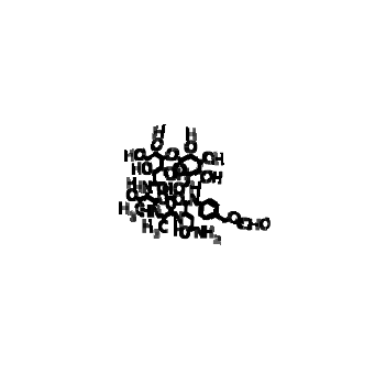 CC(NC(=O)C(NC(=O)[C@H](O)[C@H](O)C(O[C@@H]1O[C@H](CO)[C@H](O)[C@H](O)[C@H]1O)[C@H](O)CO)C(C)O)C(=O)NC(CC(N)=O)C(=O)Nc1ccc(COC=O)cc1